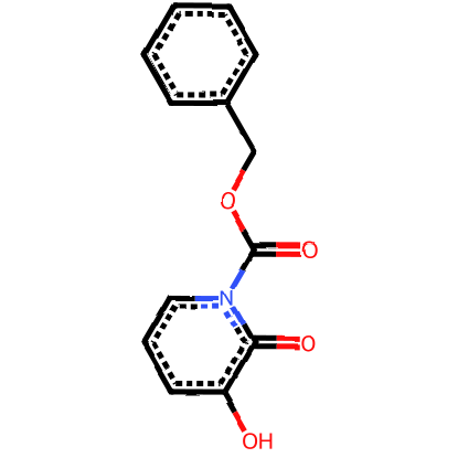 O=C(OCc1ccccc1)n1cccc(O)c1=O